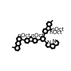 CCCCCCCCC1(CCCCCCCC)c2cc(C)ccc2-c2ccc(-c3cc(-c4ccc5c(c4)C(CCCCCCCC)(CCCCCCCC)c4cc(-c6cccc7cc8c(C)cccc8cc67)ccc4-5)cc(-c4ccc5ccc6cccnc6c5n4)c3)cc21